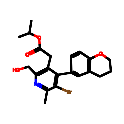 Cc1nc(CO)c(CC(=O)OC(C)C)c(-c2ccc3c(c2)CCCO3)c1Br